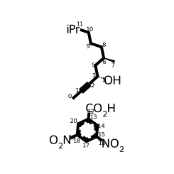 CC#C[C@@H](O)C[C@H](C)CCCC(C)C.O=C(O)c1cc([N+](=O)[O-])cc([N+](=O)[O-])c1